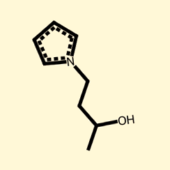 CC(O)CCn1cccc1